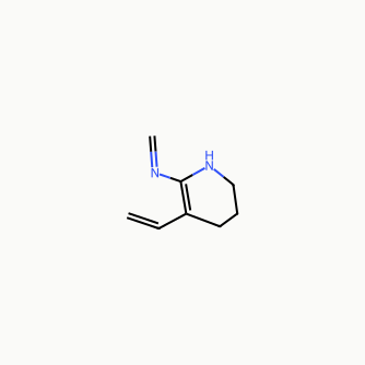 C=CC1=C(N=C)NCCC1